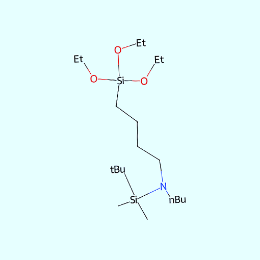 CCCCN(CCCC[Si](OCC)(OCC)OCC)[Si](C)(C)C(C)(C)C